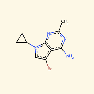 Cc1nc(N)c2c(Br)cn(C3CC3)c2n1